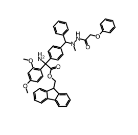 COc1ccc(C(N)(C(=O)OCC2c3ccccc3-c3ccccc32)c2ccc(C(c3ccccc3)N(C)NC(=O)COc3ccccc3)cc2)c(OC)c1